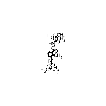 Cc1c(CNC(=O)OC(C)(C)C)cccc1C(=O)OCNC(=O)OC(C)(C)C